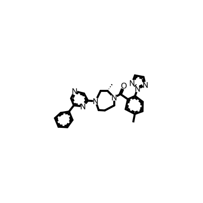 Cc1ccc(-n2nccn2)c(C(=O)N2CCCN(c3cncc(-c4ccccc4)n3)C[C@@H]2C)c1